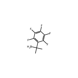 BC(C)(C)c1c(F)c(F)c(F)c(F)c1F